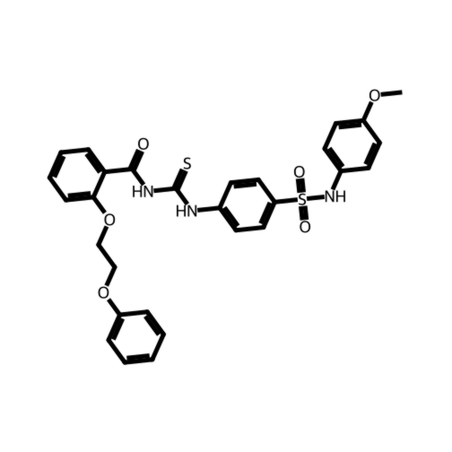 COc1ccc(NS(=O)(=O)c2ccc(NC(=S)NC(=O)c3ccccc3OCCOc3ccccc3)cc2)cc1